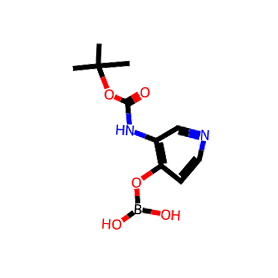 CC(C)(C)OC(=O)Nc1cnccc1OB(O)O